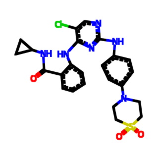 O=C(NC1CC1)c1ccccc1Nc1nc(Nc2ccc(N3CCS(=O)(=O)CC3)cc2)ncc1Cl